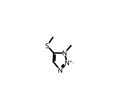 CSC1=CN=[N+]N1C